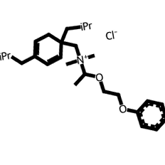 CC(C)CC1=CCC(CC(C)C)(C[N+](C)(C)C(C)OCCOc2ccccc2)C=C1.[Cl-]